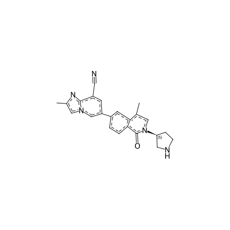 Cc1cn2cc(-c3ccc4c(=O)n([C@H]5CCNC5)cc(C)c4c3)cc(C#N)c2n1